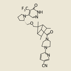 CC1C2C3C(C(C)C13C(=O)N1CCN(c3ccc(C#N)cn3)CC1)C2(C)COC[C@@H]1CCCN1c1cn[nH]c(=O)c1C(F)(F)F